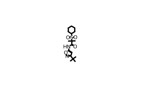 CC(C)(C)c1cc(NC(=O)C(C)(C)S(=O)(=O)C2CCCCC2)on1